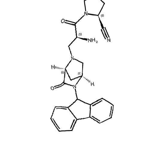 N#C[C@@H]1CCCN1C(=O)[C@@H](N)CN1C[C@@H]2C[C@H]1C(=O)N2C1c2ccccc2-c2ccccc21